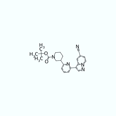 CC(C)(C)OC(=O)N1CCCC(c2cccc(-c3cnn4ccc(C#N)cc34)n2)C1